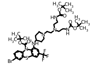 CC(C)(C)OC(=O)NCCN(CCNC(=O)OC(C)(C)C)CCN1CCC(Nc2cc(C(F)(F)F)cc3c2N(C(=O)OC(C)(C)C)c2ccc(Br)cc2S3)CC1